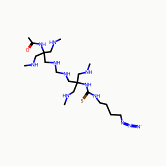 CNCC(CNC)(CNCNCC(CNC)(CNC)NC(=S)NCCCCN=[N+]=[N-])NC(C)=O